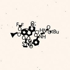 CC(C)(C)OC(=O)NCCNC(=O)c1cccc(S(=O)(=O)N2CCSC2C(=O)OC(Cc2c(Cl)c[n+]([O-])cc2Cl)c2ccc(OC(F)F)c(OCC3CC3)c2)c1